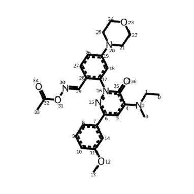 CCN(C)c1cc(-c2cccc(OC)c2)nn(-c2cc(N3CCOCC3)ccc2C=NOC(C)=O)c1=O